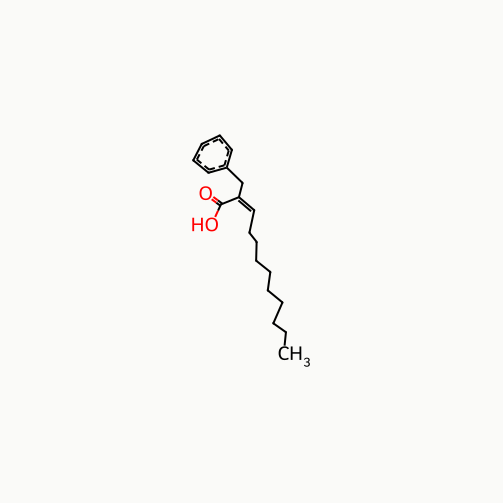 CCCCCCCCCC=C(Cc1ccccc1)C(=O)O